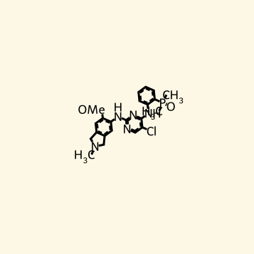 COc1cc2c(cc1Nc1ncc(Cl)c(Nc3ccccc3P(C)(C)=O)n1)CN(C)C2